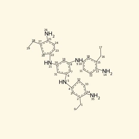 CCc1cc(Nc2cc(Nc3ccc(N)c(CC)c3)cc(Nc3ccc(N)c(CC)c3)c2)ccc1N